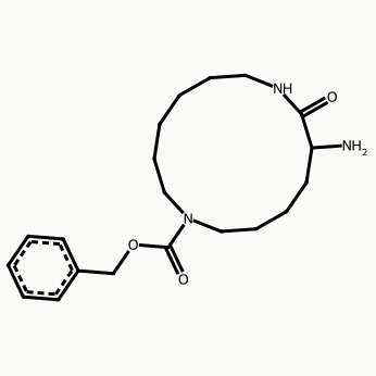 NC1CCCCN(C(=O)OCc2ccccc2)CCCCCCNC1=O